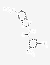 O=C(O)c1ccc2nc(NC(=O)c3cc([N+](=O)[O-])cc(C(F)(F)F)c3)sc2c1